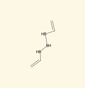 C=CBBBC=C